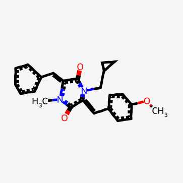 COc1ccc(/C=c2/c(=O)n(C)/c(=C\c3ccccc3)c(=O)n2CC2CC2)cc1